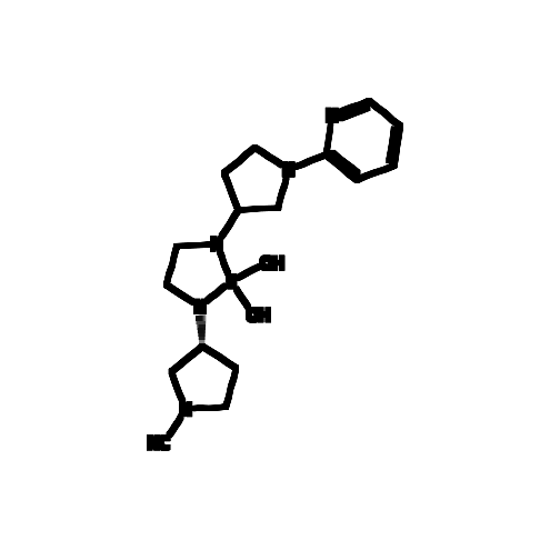 N#CN1CC[C@@H](N2CCN(C3CCN(c4ccccn4)C3)S2(O)O)C1